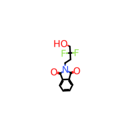 O=C1c2ccccc2C(=O)N1CCC(F)(F)CO